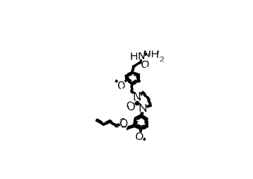 CCCCOCc1cc(N2CCCN(Cc3ccc(CC(=O)NN)cc3OC)C2=O)ccc1OC